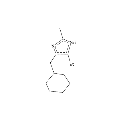 CCc1[nH]c(C)nc1CC1CCCCC1